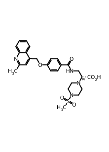 Cc1cc(COc2ccc(C(=O)NC[C@H](C(=O)O)N3CCN(S(C)(=O)=O)CC3)cc2)c2ccccc2n1